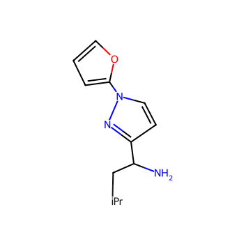 CC(C)CC(N)c1ccn(-c2ccco2)n1